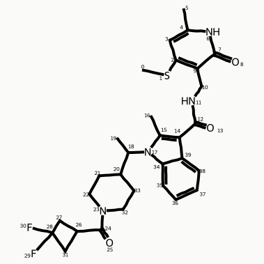 CSc1cc(C)[nH]c(=O)c1CNC(=O)c1c(C)n(C(C)C2CCN(C(=O)C3CC(F)(F)C3)CC2)c2ccccc12